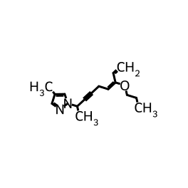 C=C/C(=C\CC#CC(C)n1cc(C)cn1)OCCC